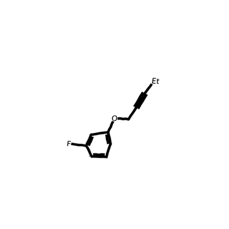 CCC#CCOc1cc[c]c(F)c1